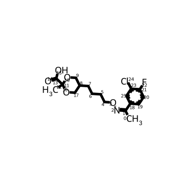 CC(=NOCCCCC1COC(C)(C(=O)O)OC1)c1ccc(F)c(Cl)c1